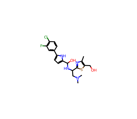 Cc1nc(C(CN(C)C)NC(O)c2ccc(-c3ccc(Cl)c(F)c3)[nH]2)sc1CO